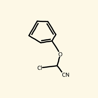 N#CC(Cl)Oc1ccccc1